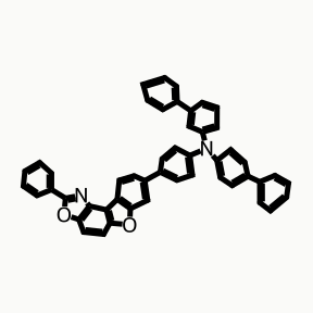 c1ccc(-c2ccc(N(c3ccc(-c4ccc5c(c4)oc4ccc6oc(-c7ccccc7)nc6c45)cc3)c3cccc(-c4ccccc4)c3)cc2)cc1